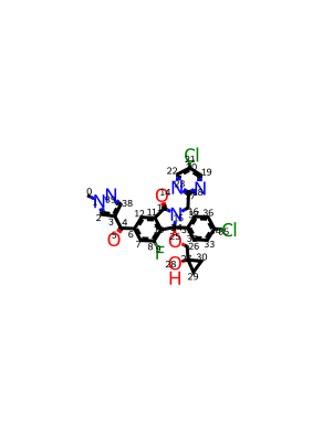 Cn1cc(C(=O)c2cc(F)c3c(c2)C(=O)N(Cc2ncc(Cl)cn2)C3(OCC2(O)CC2)c2ccc(Cl)cc2)cn1